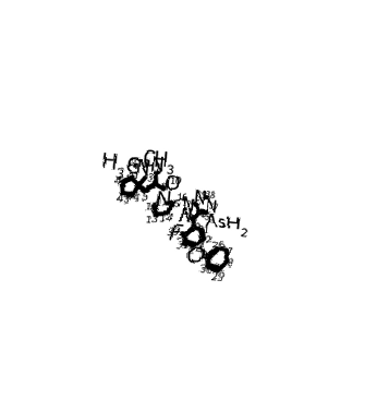 CN(C)CC1(/C=C(\C#N)C(=O)N2CCC[C@H]2Cn2nc(-c3ccc(Oc4ccccc4)cc3F)c3c([AsH2])ncnc32)CCCC1